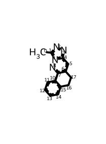 Cc1nnc2cc3c(nn12)-c1ccccc1CC3